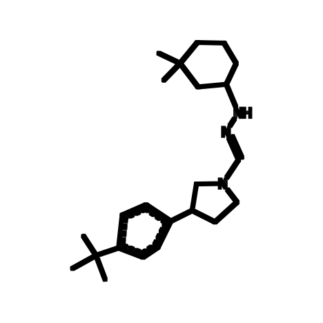 CC1(C)CCCC(NN=CN2CCC(c3ccc(C(C)(C)C)cc3)C2)C1